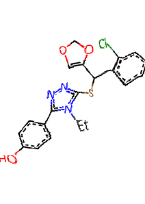 CCn1c(SC(C2=COCO2)c2ccccc2Cl)nnc1-c1ccc(O)cc1